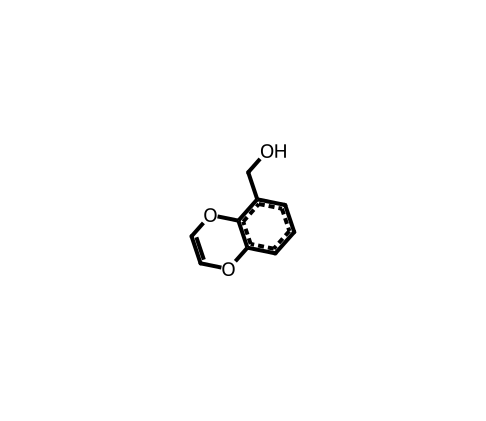 OCc1cccc2c1OC=CO2